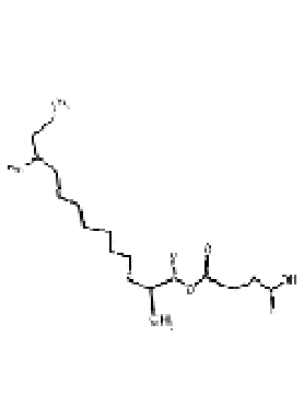 CCCC(C)CCCCCCCCC(C)C(=O)OC(=O)CCC(=O)O